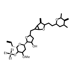 C=CC[C@@H]1O[C@@H](C2OC(CC3C4OC(CCC5CC(C)C(=C)C(C)O5)C(=C)C34)CC2O)CC(OC)C1O[Si](CC)(CC)CC